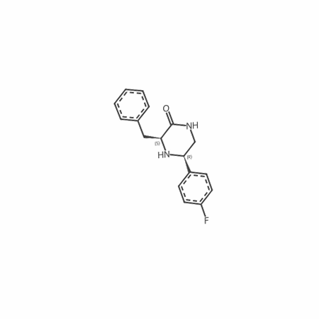 O=C1NC[C@@H](c2ccc(F)cc2)N[C@H]1Cc1ccccc1